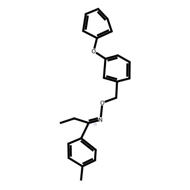 CC/C(=N\OCc1cccc(Oc2ccccc2)c1)c1ccc(C)cc1